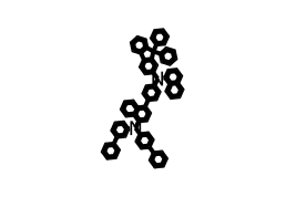 c1ccc(-c2ccc(N(c3cccc(-c4ccccc4)c3)c3ccc(-c4ccc(N(c5ccc6c(c5)C(c5ccccc5)(c5ccccc5)c5ccccc5-6)c5cccc6ccccc56)cc4)c4ccccc34)cc2)cc1